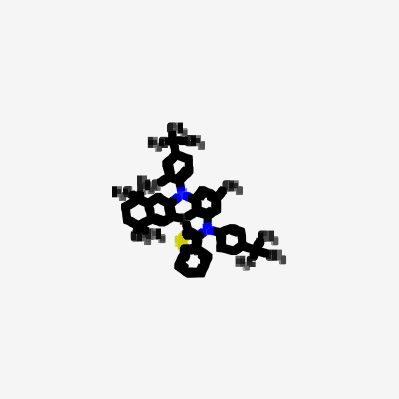 CC1=CC(C(C)(C)C)CC=C1N1C2=C(C=C3C(C2)C(C)(C)CCC3(C)C)B2c3sc4ccccc4c3N(C3=CCC(C(C)(C)C)C=C3)c3cc(C)cc1c32